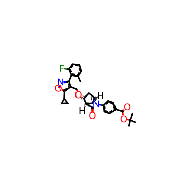 Cc1cccc(F)c1-c1noc(C2CC2)c1CO[C@@H]1C[C@@H]2C[C@H]1C(=O)N2c1ccc(C(=O)OC(C)(C)C)cc1